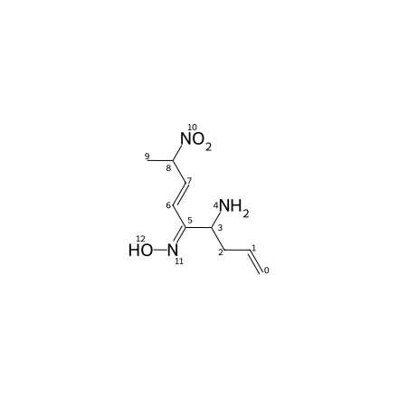 C=CCC(N)C(/C=C/C(C)[N+](=O)[O-])=N/O